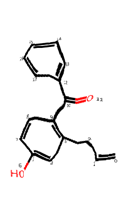 C=CCc1cc(O)ccc1C(=O)c1ccccc1